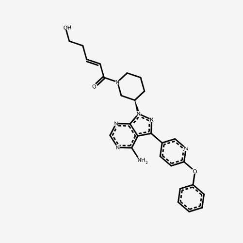 Nc1ncnc2c1c(-c1ccc(Oc3ccccc3)nc1)nn2[C@@H]1CCCN(C(=O)C=CCCO)C1